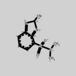 CN(C)S(=O)(=O)c1cccc2c1=NC(C#N)N=2